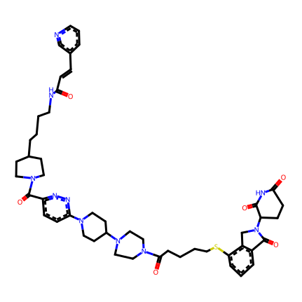 O=C(/C=C/c1cccnc1)NCCCCC1CCN(C(=O)c2ccc(N3CCC(N4CCN(C(=O)CCCCSc5cccc6c5CN(C5CCC(=O)NC5=O)C6=O)CC4)CC3)nn2)CC1